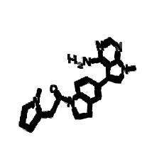 Cn1cccc1CC(=O)N1CCc2cc(-c3cn(C)c4ncnc(N)c34)ccc21